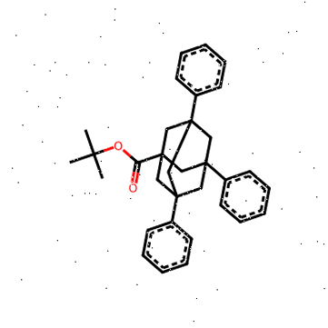 CC(C)(C)OC(=O)C12CC3(c4ccccc4)CC(c4ccccc4)(C1)CC(c1ccccc1)(C2)C3